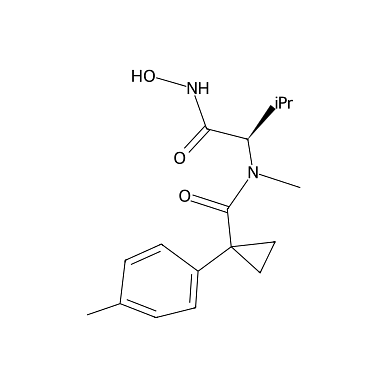 Cc1ccc(C2(C(=O)N(C)[C@@H](C(=O)NO)C(C)C)CC2)cc1